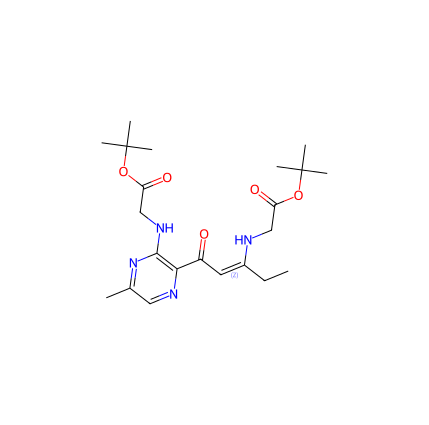 CC/C(=C/C(=O)c1ncc(C)nc1NCC(=O)OC(C)(C)C)NCC(=O)OC(C)(C)C